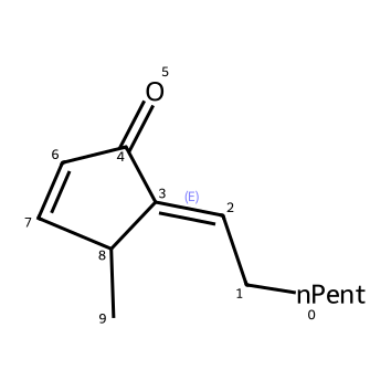 CCCCCC/C=C1/C(=O)C=CC1C